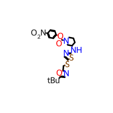 CC(C)(C)c1cnc(CSc2cnc(N[C@@H]3CCCN(C(=O)Oc4ccc([N+](=O)[O-])cc4)C3)s2)o1